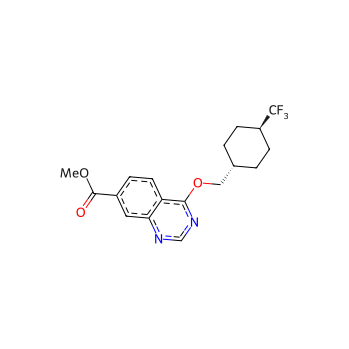 COC(=O)c1ccc2c(OC[C@H]3CC[C@H](C(F)(F)F)CC3)ncnc2c1